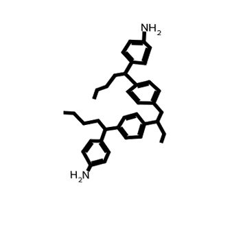 CCCCC(c1ccc(N)cc1)c1ccc(CC(CC)c2ccc(C(CCCC)c3ccc(N)cc3)cc2)cc1